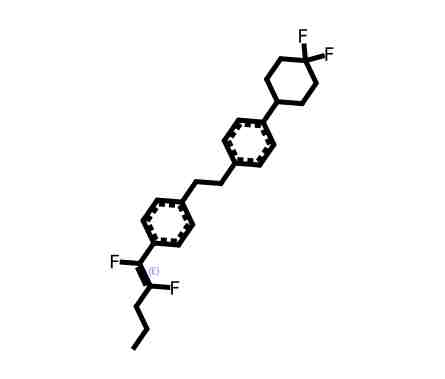 CCC/C(F)=C(\F)c1ccc(CCc2ccc(C3CCC(F)(F)CC3)cc2)cc1